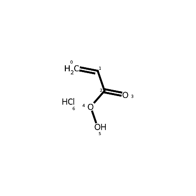 C=CC(=O)OO.Cl